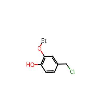 CCOc1cc(CCl)ccc1O